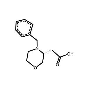 O=C(O)C[C@@H]1COCCN1Cc1ccccc1